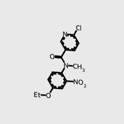 CCOc1ccc(N(C)C(=O)c2ccc(Cl)nc2)c([N+](=O)[O-])c1